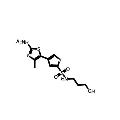 CC(=O)Nc1nc(C)c(-c2csc(S(=O)(=O)NCCCO)c2)s1